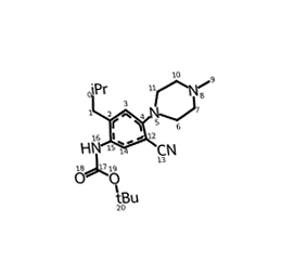 CC(C)Cc1cc(N2CCN(C)CC2)c(C#N)cc1NC(=O)OC(C)(C)C